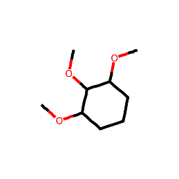 COC1CCCC(OC)C1OC